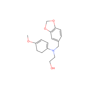 COC1=CC=C(N(CCO)Cc2ccc3c(c2)OCO3)CC1